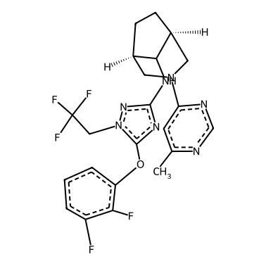 Cc1cc(N2C[C@H]3CC[C@@H](C2)C3Nc2nc(Oc3cccc(F)c3F)n(CC(F)(F)F)n2)ncn1